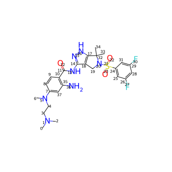 CN(C)CCN(C)c1ccc(C(=O)Nc2n[nH]c3c2CN(S(=O)(=O)c2cc(F)cc(F)c2)C3(C)C)c(N)c1